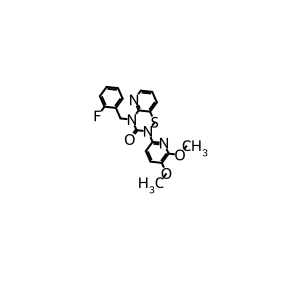 COc1ccc(N2Sc3cccnc3N(Cc3ccccc3F)C2=O)nc1OC